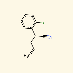 C=CCC(C#N)c1ccccc1Cl